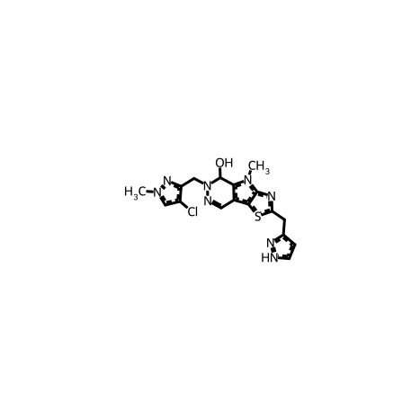 Cn1cc(Cl)c(CN2N=Cc3c(n(C)c4nc(Cc5cc[nH]n5)sc34)C2O)n1